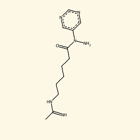 CC(=N)NCCCCCC(=O)N(N)c1cncnc1